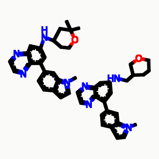 Cn1ccc2ccc(-c3cc(NC4CCOC(C)(C)C4)cc4nccnc34)cc21.Cn1ccc2ccc(-c3cc(NCC4CCCOC4)cc4nccnc34)cc21